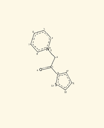 O=C(C[n+]1ccccc1)c1cccs1